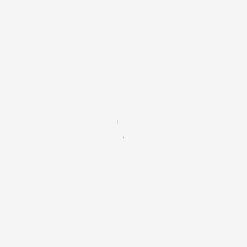 C.O.[SiH4].[Ti]